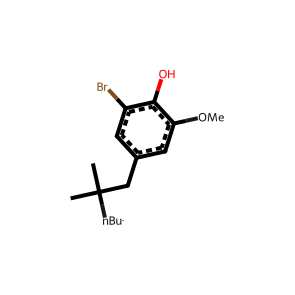 CCC[CH]C(C)(C)Cc1cc(Br)c(O)c(OC)c1